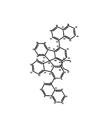 COc1ccc(-c2cccc3ccccc23)c2c1C1(c3ccccc3-2)c2ccccc2-c2c(-c3cccc4ccccc34)ccc(OC)c21